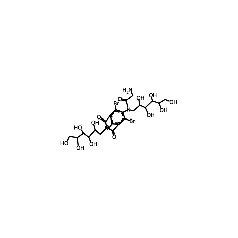 NCC(=O)N(CC(O)C(O)C(O)C(O)CO)c1c(Br)c2c(Br)c(c1Br)C(=O)N(CC(O)C(O)C(O)C(O)CO)C2=O